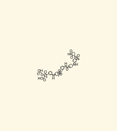 Cn1c(=O)n(C2CCC(=O)NC2=O)c2ccc(NC3CCN(C(=O)Nc4cccc(CS(=O)(=O)N5CC[C@H](Nc6cccc(-c7sc(C(=O)O)c(OCC(=O)O)c7Cl)c6)CC5(C)C)c4)CC3)cc21